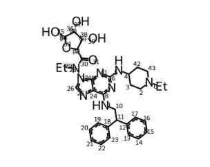 CCN1CCC(Nc2nc(NCC(c3ccccc3)c3ccccc3)c3ncn(N(CC)C(=O)[C@H]4O[C@@H](O)[C@H](O)[C@@H]4O)c3n2)CC1